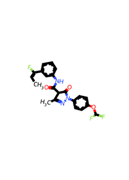 C/C=C(/F)c1cccc(NC(=O)C2C(=O)N(c3ccc(OC(F)F)cc3)N=C2C)c1